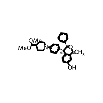 COC(OC)C1CCN(c2ccc([C@H]3c4ccc(O)cc4[C@H](C)O[C@H]3c3ccccc3)cc2)CC1